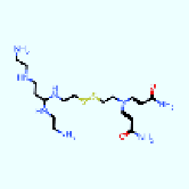 NCCNCCC(NCCN)NCCSSCCN(C=CC(N)=O)C=CC(N)=O